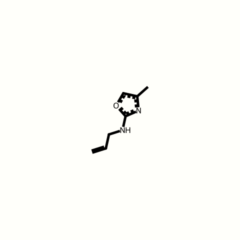 C=CCNc1nc(C)co1